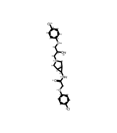 O=C(COc1ccc(Cl)cc1)NC1C2CN(CC(O)COc3ccc(Cl)cc3)CC21